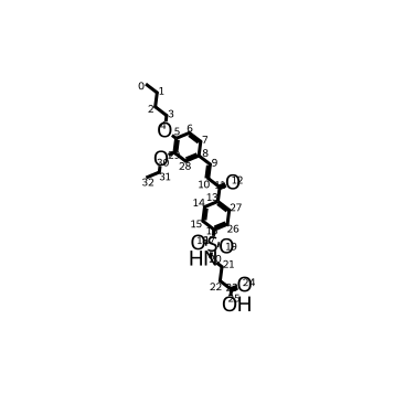 CCCCOc1ccc(/C=C/C(=O)c2ccc(S(=O)(=O)NCCC(=O)O)cc2)cc1OCC